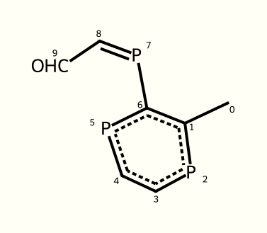 Cc1pccpc1/P=C\C=O